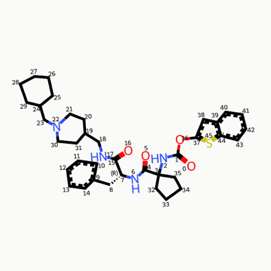 O=C(NC1(C(=O)N[C@H](Cc2ccccc2)C(=O)NCC2CCN(CC3CCCCC3)CC2)CCCC1)Oc1cc2ccccc2s1